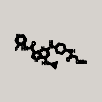 COCC(=O)NC1CCC(Nc2cc(NC3CC3)c3ncc(C(=O)Nc4ccncc4F)n3n2)CC1